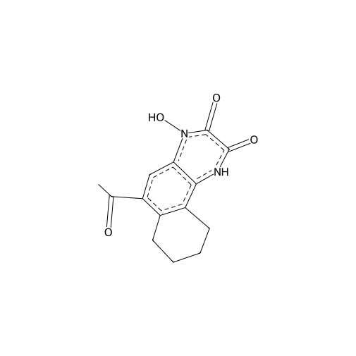 CC(=O)c1cc2c([nH]c(=O)c(=O)n2O)c2c1CCCC2